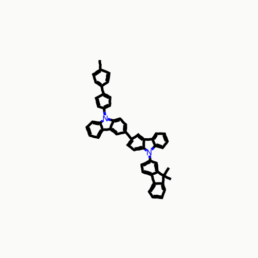 Cc1ccc(-c2ccc(-n3c4ccccc4c4cc(-c5ccc6c(c5)c5ccccc5n6-c5ccc6c(c5)C(C)(C)c5ccccc5-6)ccc43)cc2)cc1